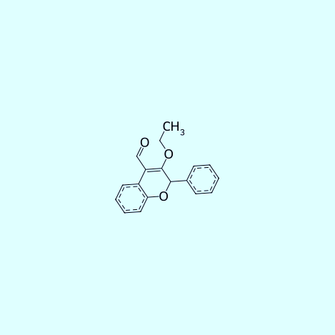 CCOC1=C(C=O)c2ccccc2OC1c1ccccc1